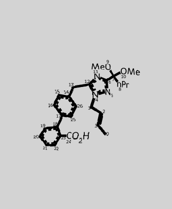 CC=CCn1nc(C(CCC)(OC)OC)nc1Cc1ccc(-c2ccccc2C(=O)O)cc1